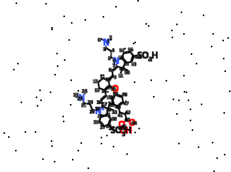 CN(C)CCCN1/C(=C/C=C2\CCCC(/C=C/C3=[N+](CCCN(C)C)c4ccc(S(=O)(=O)O)cc4C3(C)C)=C2Oc2ccc(CCC(=O)OO)cc2)C(C)(C)c2cc(S(=O)(=O)O)ccc21